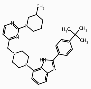 CC1CCCN(c2nccc(CN3CCN(c4cccc5nc(-c6ccc(C(C)(C)C)cc6)[nH]c45)CC3)n2)C1